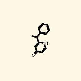 CC(c1ccccc1)c1cc(=O)cc[nH]1